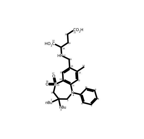 CCCCC1(CCCC)CN(c2ccccc2)c2cc(C)c(CNC(CCC(=O)O)C(=O)O)cc2S(=O)(=O)C1